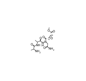 COC(=O)[C@@H]1O[C@@H]1C(=O)N(CC(N)=O)NC(=O)C(C)NC(=O)C(C)N